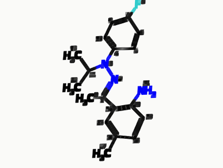 C/C(=N\N(c1ccc(F)cc1)C(C)C)c1cc(C)ccc1N